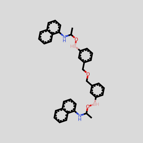 CC(Nc1cccc2ccccc12)OBc1cccc(COCc2cccc(BOC(C)Nc3cccc4ccccc34)c2)c1